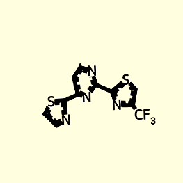 FC(F)(F)c1csc(-c2n[c]cc(-c3nccs3)n2)n1